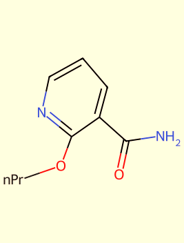 CCCOc1ncccc1C(N)=O